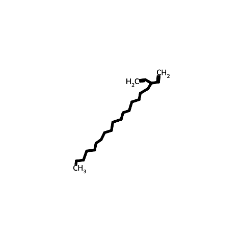 C=CC(C=C)CCCCCCCCCCCCCCCCC